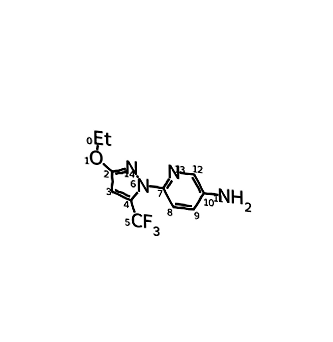 CCOc1cc(C(F)(F)F)n(-c2ccc(N)cn2)n1